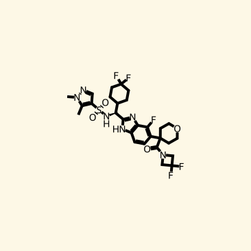 Cc1c(S(=O)(=O)N[C@H](c2nc3c(F)c(C4(C(=O)N5CC(F)(F)C5)CCOCC4)ccc3[nH]2)C2CCC(F)(F)CC2)cnn1C